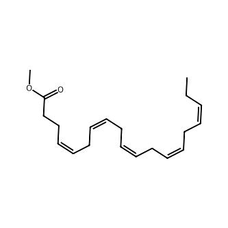 CC/C=C\C/C=C\C/C=C\C/C=C\C/C=C\CCC(=O)OC